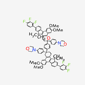 COc1cc2c3c(c4c(c2cc1OC)-c1ccc(-c2ccc(F)c(F)c2F)cc1C4(C)C)CCC(c1ccc(N2CCOCC2)cc1)(c1ccc(C2(c4ccc(N5CCOCC5)cc4)C=Cc4c5c(c6cc(OC)c(OC)cc6c4O2)-c2ccc(-c4ccc(F)c(F)c4F)cc2C5(C)C)cc1)C3